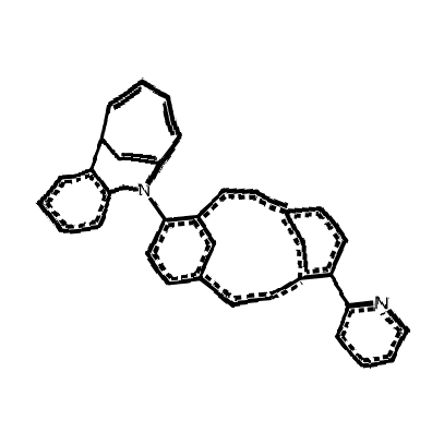 C1=CC2=CC(C=C1)c1ccccc1N2c1ccc2ccc3cc(ccc3-c3ccccn3)ccc1c2